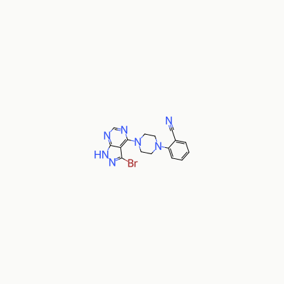 N#Cc1ccccc1N1CCN(c2ncnc3[nH]nc(Br)c23)CC1